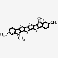 Cc1ccc2c3sc4c5sc6c(sc7c8ccc(C)cc8n(C)c76)c5sc4c3n(C)c2c1